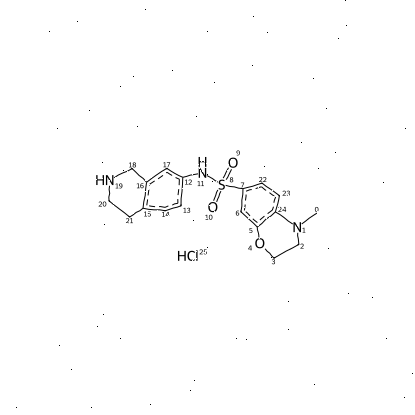 CN1CCOc2cc(S(=O)(=O)Nc3ccc4c(c3)CNCC4)ccc21.Cl